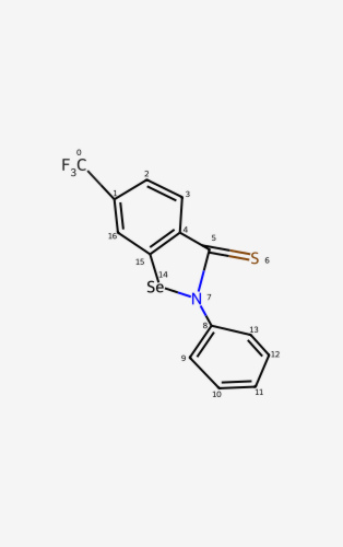 FC(F)(F)c1ccc2c(=S)n(-c3ccccc3)[se]c2c1